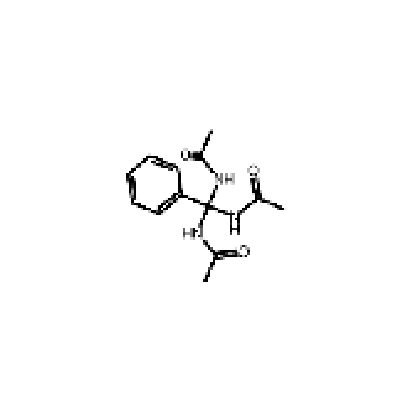 CC(=O)NC(NC(C)=O)(NC(C)=O)c1ccccc1